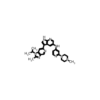 Cc1nc2cnc(-c3c[nH]c4ncc(Nc5ccnc(N6CCN(C)CC6)c5)cc34)cc2n1C(C)C